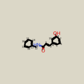 O=C(C=Cc1cccc(O)c1)NCc1ccccc1